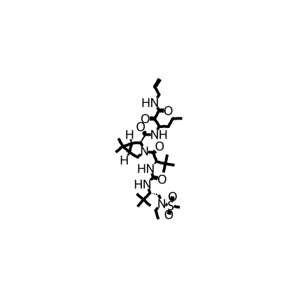 C=CCNC(=O)C(=O)C(CCC)NC(=O)[C@@H]1[C@@H]2[C@H](CN1C(=O)[C@@H](NC(=O)N[C@H](CN(CC)S(C)(=O)=O)C(C)(C)C)C(C)(C)C)C2(C)C